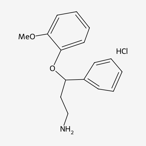 COc1ccccc1OC(CCN)c1ccccc1.Cl